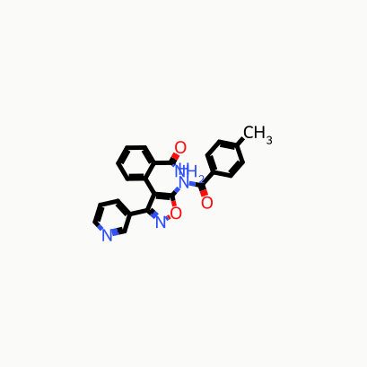 Cc1ccc(C(=O)Nc2onc(-c3cccnc3)c2-c2ccccc2C(N)=O)cc1